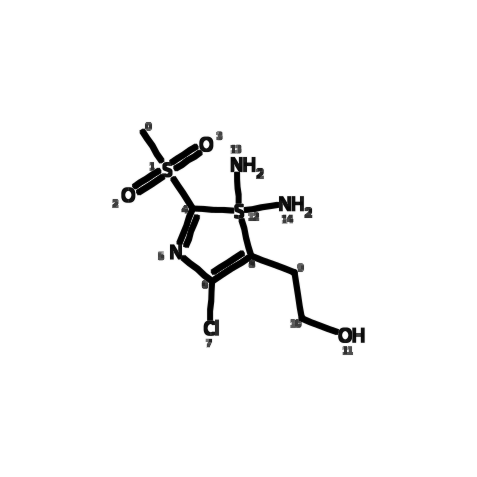 CS(=O)(=O)C1=NC(Cl)=C(CCO)S1(N)N